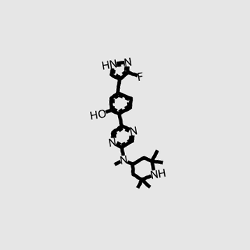 CN(c1cnc(-c2ccc(-c3c[nH]nc3F)cc2O)cn1)C1CC(C)(C)NC(C)(C)C1